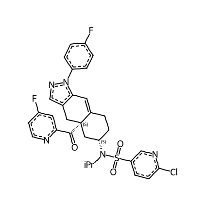 CC(C)N([C@H]1CCC2=Cc3c(cnn3-c3ccc(F)cc3)C[C@]2(C(=O)c2cc(F)ccn2)C1)S(=O)(=O)c1ccc(Cl)nc1